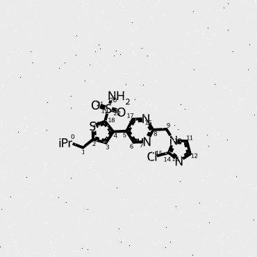 CC(C)Cc1cc(-c2cnc(Cn3ccnc3Cl)nc2)c(S(N)(=O)=O)s1